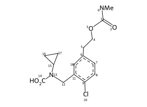 CNC(=O)OCCc1ccc(Cl)c(CN(C(=O)O)C2CC2)c1